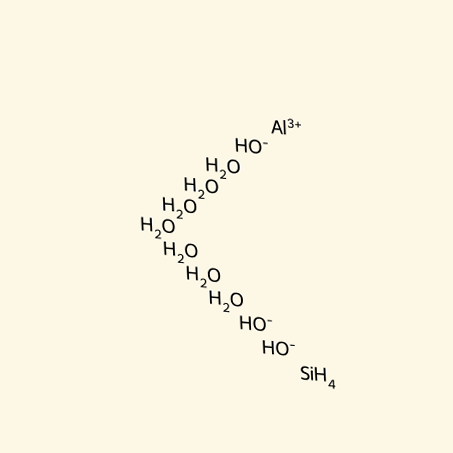 O.O.O.O.O.O.O.[Al+3].[OH-].[OH-].[OH-].[SiH4]